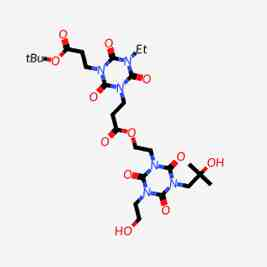 CCn1c(=O)n(CCC(=O)OCCn2c(=O)n(CCO)c(=O)n(CC(C)(C)O)c2=O)c(=O)n(CCC(=O)OC(C)(C)C)c1=O